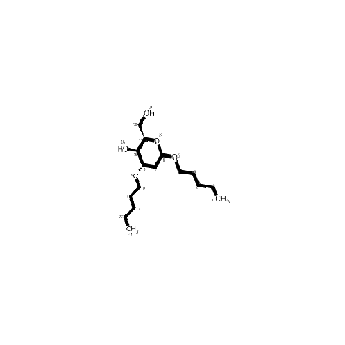 CCCCCOC1C[C@H](OCCCCC)[C@@H](O)[C@@H](CO)O1